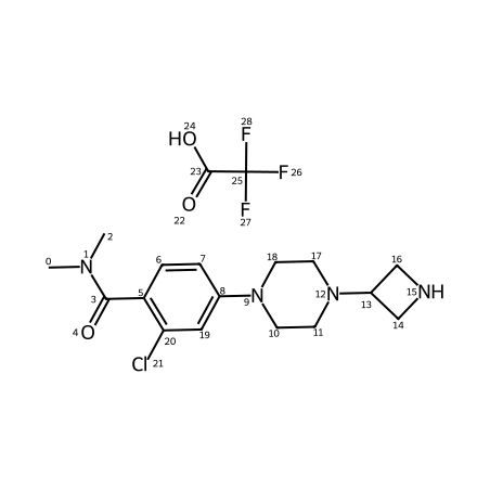 CN(C)C(=O)c1ccc(N2CCN(C3CNC3)CC2)cc1Cl.O=C(O)C(F)(F)F